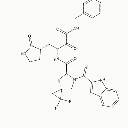 O=C(NCc1ccccc1)C(=O)C(C[C@@H]1CCNC1=O)NC(=O)[C@@H]1C[C@@]2(CN1C(=O)c1cc3ccccc3[nH]1)CC2(F)F